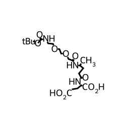 CC(CCC(=O)NC(CCC(=O)O)C(=O)O)NC(=O)COCCOCCNC(=O)OC(C)(C)C